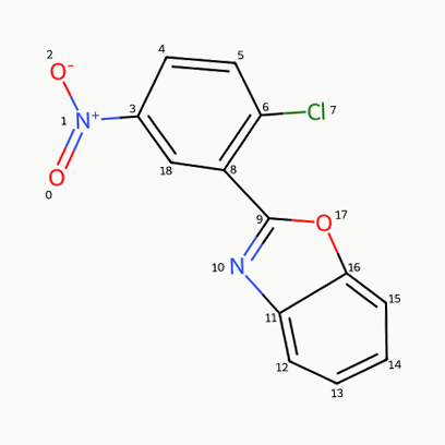 O=[N+]([O-])c1ccc(Cl)c(-c2nc3ccccc3o2)c1